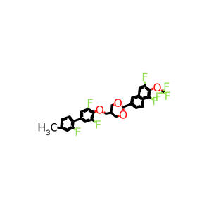 Cc1ccc(-c2cc(F)c(OCC3COC(c4ccc5c(F)c(OC(F)(F)F)c(F)cc5c4)OC3)c(F)c2)c(F)c1